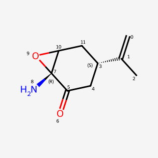 C=C(C)[C@@H]1CC(=O)[C@]2(N)OC2C1